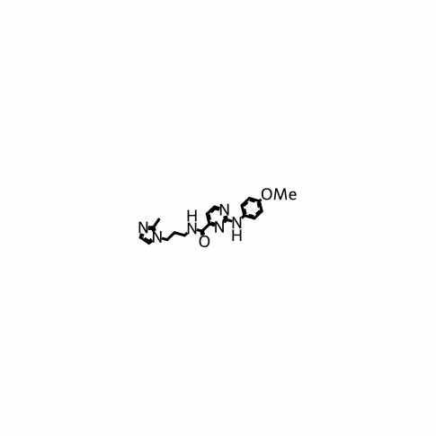 COc1ccc(Nc2nccc(C(=O)NCCCn3ccnc3C)n2)cc1